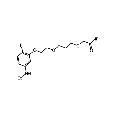 CCNc1ccc(F)c(OCCOCCCOCC(=O)C(C)C)c1